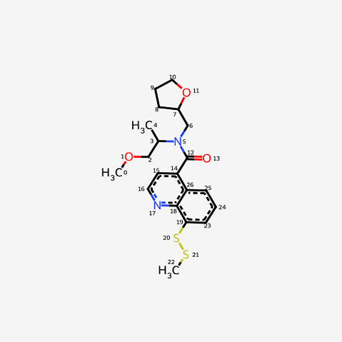 COCC(C)N(CC1CCCO1)C(=O)c1ccnc2c(SSC)cccc12